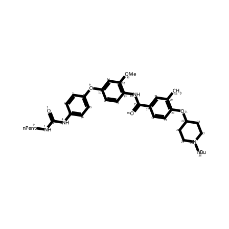 CCCCCNC(=O)Nc1ccc(Oc2ccc(NC(=O)c3ccc(OC4CCN(CCCC)CC4)c(C)c3)c(OC)c2)cc1